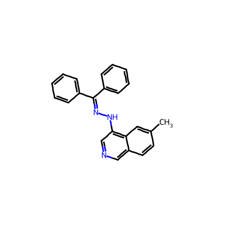 Cc1ccc2cncc(NN=C(c3ccccc3)c3ccccc3)c2c1